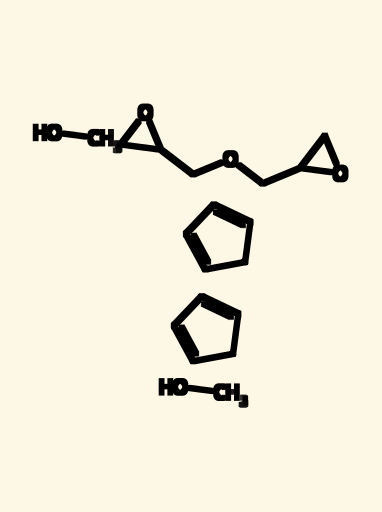 C(OCC1CO1)C1CO1.C1=CCC=C1.C1=CCC=C1.CO.CO